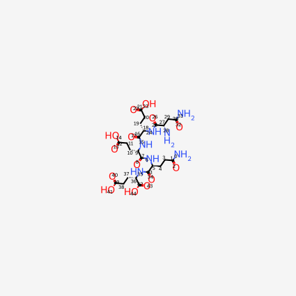 NC(=O)CC[C@H](NC(=O)[C@H](CCC(=O)O)NC(=O)[C@H](CCC(=O)O)NC(=O)[C@@H](N)CC(N)=O)C(=O)N[C@@H](CCC(=O)O)C(=O)O